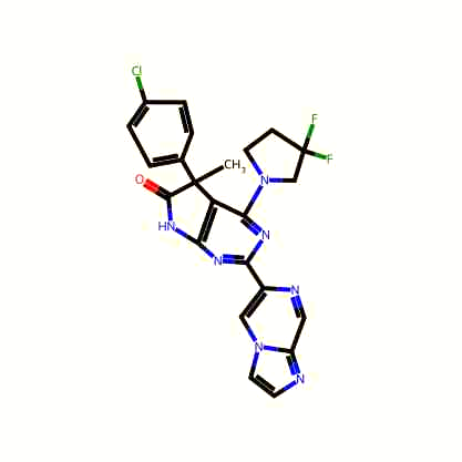 CC1(c2ccc(Cl)cc2)C(=O)Nc2nc(-c3cn4ccnc4cn3)nc(N3CCC(F)(F)C3)c21